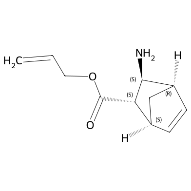 C=CCOC(=O)[C@@H]1[C@@H](N)[C@H]2C=C[C@@H]1C2